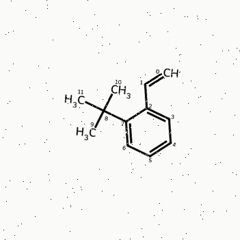 [CH]=Cc1ccccc1C(C)(C)C